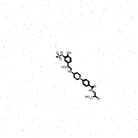 CCC(CNC(=O)c1ccc(N2CCC(NC[C@H](O)c3ccc(O)c(NS(C)(=O)=O)c3)CC2)cc1)C(=O)O